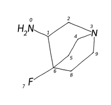 NC1CN2CCC1(F)CC2